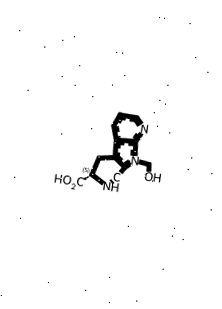 O=C(O)[C@@H]1Cc2c(n(CO)c3ncccc23)CN1